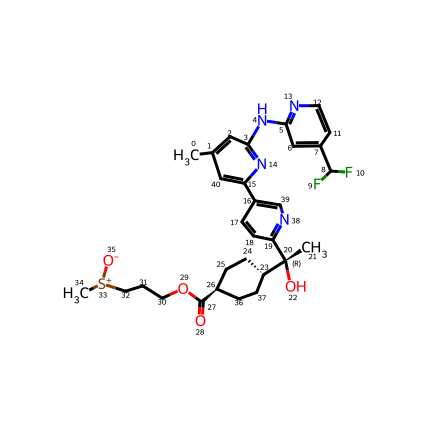 Cc1cc(Nc2cc(C(F)F)ccn2)nc(-c2ccc([C@](C)(O)[C@H]3CC[C@H](C(=O)OCCC[S+](C)[O-])CC3)nc2)c1